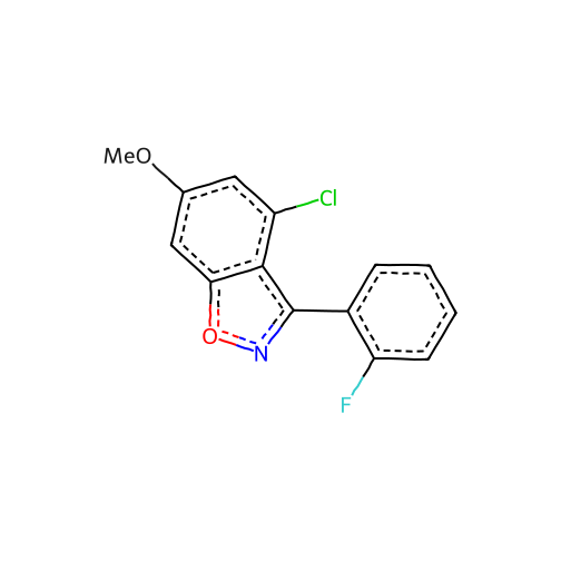 COc1cc(Cl)c2c(-c3ccccc3F)noc2c1